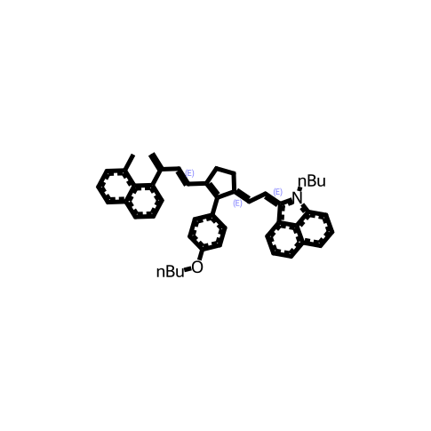 C=C(/C=C/C1=C(c2ccc(OCCCC)cc2)C(=C/C=c2\c3cccc4cccc(c43)n2CCCC)/CC1)c1cccc2cccc(C)c12